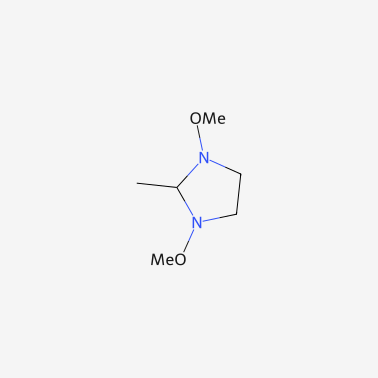 CON1CCN(OC)C1C